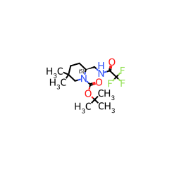 CC1(C)CC[C@@H](CNC(=O)C(F)(F)F)N(C(=O)OC(C)(C)C)C1